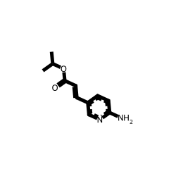 CC(C)OC(=O)/C=C/c1ccc(N)nc1